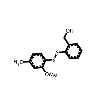 COc1cc(C)ccc1SSc1ccccc1CO